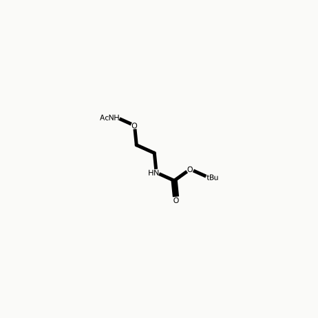 CC(=O)NOCCNC(=O)OC(C)(C)C